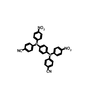 N#Cc1ccc(N(c2ccc(N(c3ccc(C#N)cc3)c3ccc([N+](=O)[O-])cc3)cc2)c2ccc([N+](=O)[O-])cc2)cc1